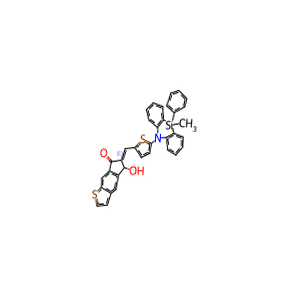 C[Si]1(c2ccccc2)c2ccccc2N(c2ccc(/C=C3/C(=O)c4cc5sccc5cc4C3O)s2)c2ccccc21